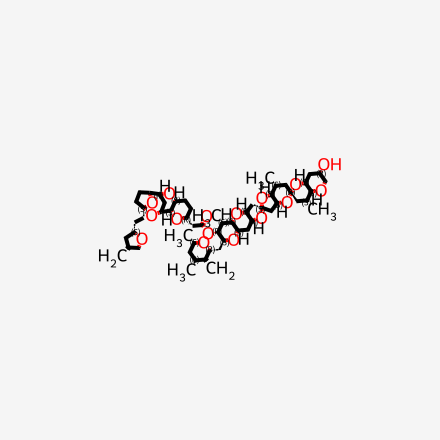 C=C1CO[C@@H](CC[C@]23CCC(O2)[C@H]2CC(O3)[C@H]3O[C@@H](CC(=O)O[C@@H]4[C@@H](C)[C@@H]5O[C@@H]6C[C@]7(C[C@@H]8O[C@]9(C[C@H](C)[C@@H]%10OC[C@H](O)C[C@@H]%10O9)C[C@H](C)[C@@H]8O7)O[C@@H]6C[C@@H]5O[C@H]4C[C@H]4O[C@@H](C)C[C@@H](C)C4=C)CC[C@@H]3O2)C1